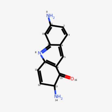 Nc1ccc2cc3c(nc2c1)C=CC(N)C3=O